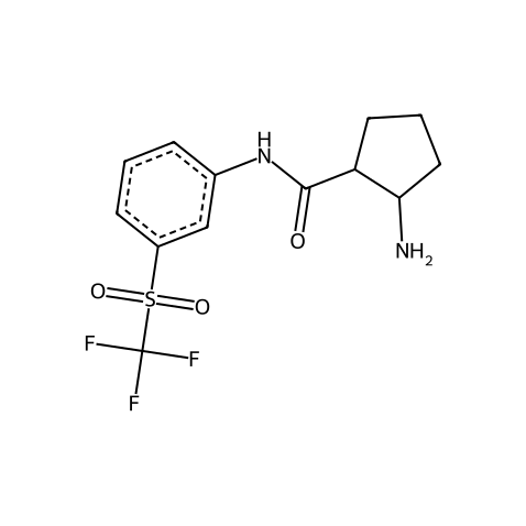 NC1CCCC1C(=O)Nc1cccc(S(=O)(=O)C(F)(F)F)c1